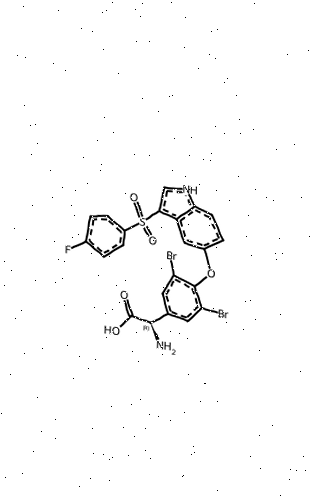 N[C@@H](C(=O)O)c1cc(Br)c(Oc2ccc3[nH]cc(S(=O)(=O)c4ccc(F)cc4)c3c2)c(Br)c1